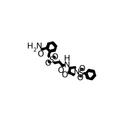 NC(=O)c1ccccc1CS(=O)(=O)C[CH]C(=O)NC1CN(S(=O)(=O)c2ccccc2)CC1=O